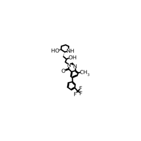 Cc1cc(-c2cccc(C(F)(F)F)c2)cc2c(=O)n(CC(O)C[C@H]3NCCC[C@@H]3O)cnc12